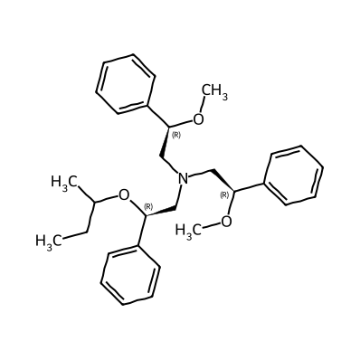 CCC(C)O[C@@H](CN(C[C@H](OC)c1ccccc1)C[C@H](OC)c1ccccc1)c1ccccc1